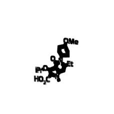 CCc1cc2c(c(OC(C)C)c(C(=O)O)n2C)c(=O)n1-c1ccc(OC)cc1